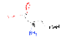 N[C@@H](C[TeH])C(=O)O